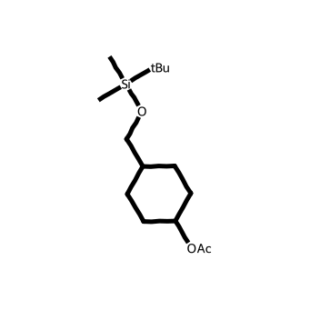 CC(=O)OC1CCC(CO[Si](C)(C)C(C)(C)C)CC1